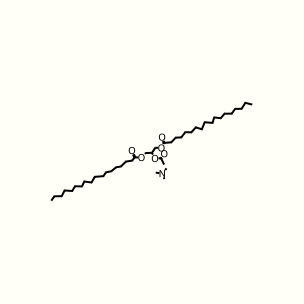 CCCCCCCCCCCCCCCCCC(=O)OCC(COC(=O)CCCCCCCCCCCCCCCCC)OC(C)=O.CN(C)C